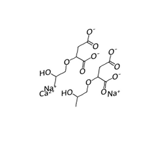 CC(O)COC(CC(=O)[O-])C(=O)[O-].CC(O)COC(CC(=O)[O-])C(=O)[O-].[Ca+2].[Na+].[Na+]